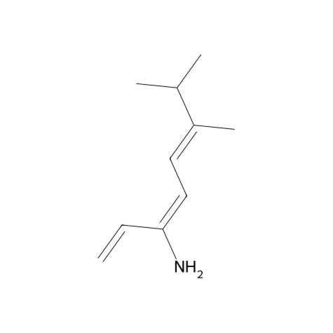 C=C/C(N)=C\C=C(/C)C(C)C